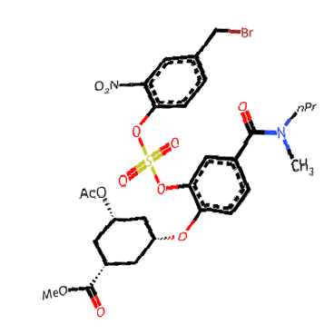 CCCN(C)C(=O)c1ccc(O[C@H]2C[C@@H](OC(C)=O)C[C@@H](C(=O)OC)C2)c(OS(=O)(=O)Oc2ccc(CBr)cc2[N+](=O)[O-])c1